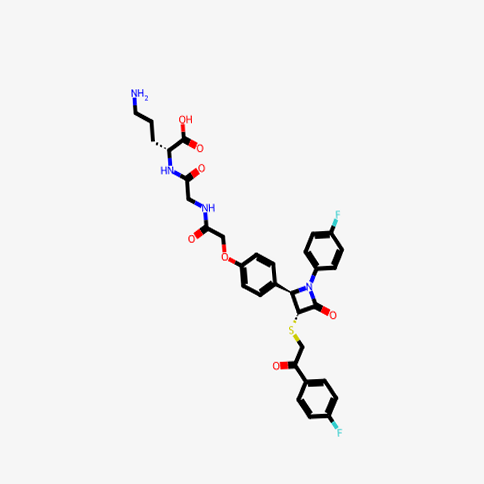 NCCC[C@@H](NC(=O)CNC(=O)COc1ccc([C@@H]2[C@@H](SCC(=O)c3ccc(F)cc3)C(=O)N2c2ccc(F)cc2)cc1)C(=O)O